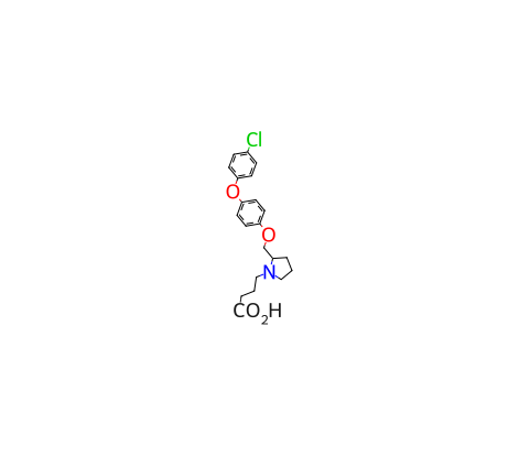 O=C(O)CCCN1CCCC1COc1ccc(Oc2ccc(Cl)cc2)cc1